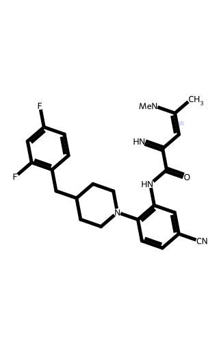 CN/C(C)=C\C(=N)C(=O)Nc1cc(C#N)ccc1N1CCC(Cc2ccc(F)cc2F)CC1